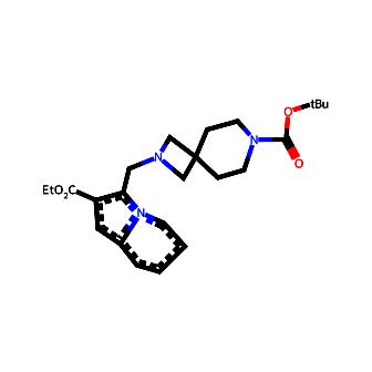 CCOC(=O)c1cc2ccccn2c1CN1CC2(CCN(C(=O)OC(C)(C)C)CC2)C1